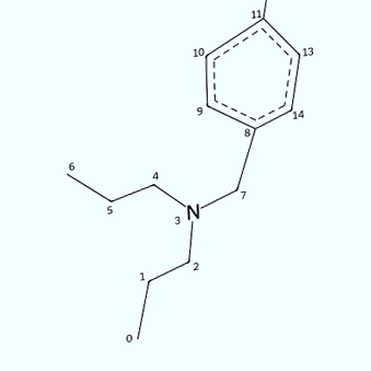 CCCN(CCC)Cc1ccc(C)cc1